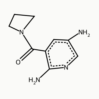 Nc1cnc(N)c(C(=O)N2CCC2)c1